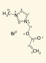 C=CC(=O)OC[n+]1ccn(C)c1.[Br-]